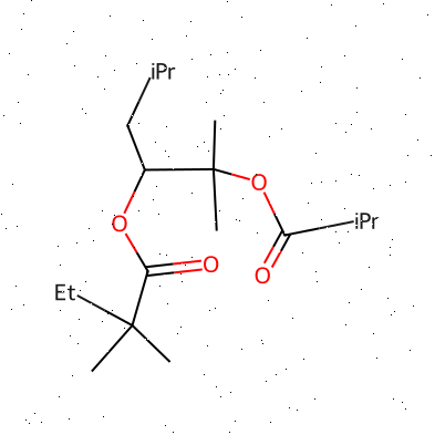 CCC(C)(C)C(=O)OC(CC(C)C)C(C)(C)OC(=O)C(C)C